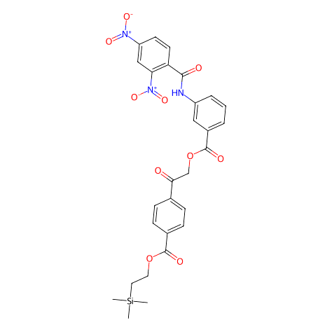 C[Si](C)(C)CCOC(=O)c1ccc(C(=O)COC(=O)c2cccc(NC(=O)c3ccc([N+](=O)[O-])cc3[N+](=O)[O-])c2)cc1